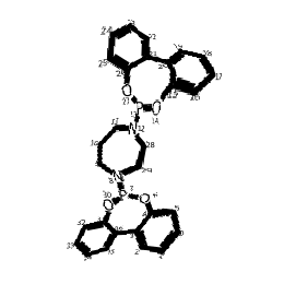 c1ccc2c(c1)op(N1CCCN(p3oc4ccccc4c4ccccc4o3)CC1)oc1ccccc12